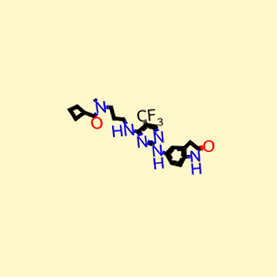 CN(CCCNc1nc(Nc2ccc3c(c2)CC(=O)N3)ncc1C(F)(F)F)C(=O)C1CCC1